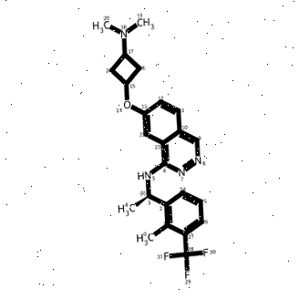 Cc1c([C@@H](C)Nc2nncc3ccc(OC4CC(N(C)C)C4)cc23)cccc1C(F)(F)F